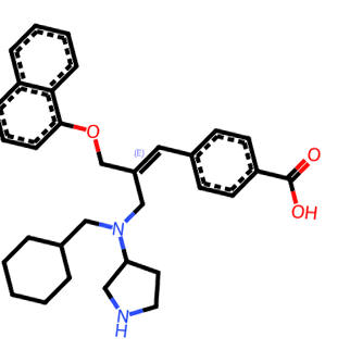 O=C(O)c1ccc(/C=C(/COc2cccc3ccccc23)CN(CC2CCCCC2)C2CCNC2)cc1